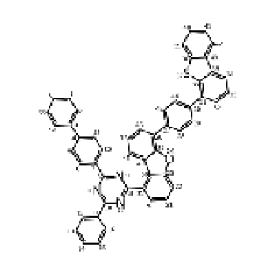 c1ccc(-c2ccc(-c3nc(-c4ccccc4)nc(-c4cccc5oc6c(-c7ccc(-c8cccc9c8sc8ccccc89)cc7)cccc6c45)n3)cc2)cc1